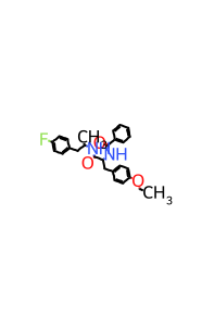 CCOc1ccc(CC(NC(=O)c2ccccc2)C(=O)NC(C)Cc2ccc(F)cc2)cc1